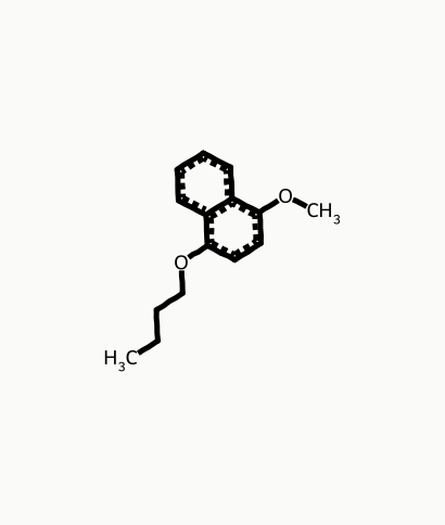 CCCCOc1ccc(OC)c2ccccc12